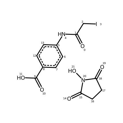 O=C(CI)Nc1ccc(C(=O)O)cc1.O=C1CCC(=O)N1O